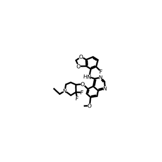 CCN1CCC(Oc2cc(OC)cc3ncnc(Nc4c(F)ccc5c4OCO5)c23)C(F)(F)C1